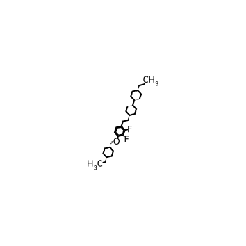 CCC[C@H]1CC[C@H]([C@H]2CC[C@H](CCc3ccc(OC[C@H]4CC[C@H](CC)CC4)c(F)c3F)CC2)CC1